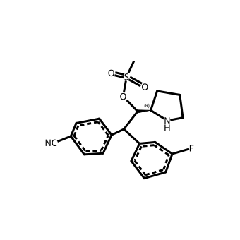 CS(=O)(=O)OC(C(c1ccc(C#N)cc1)c1cccc(F)c1)[C@H]1CCCN1